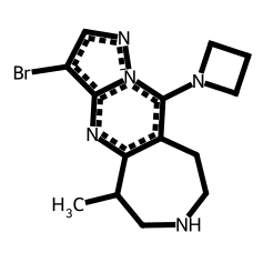 CC1CNCCc2c1nc1c(Br)cnn1c2N1CCC1